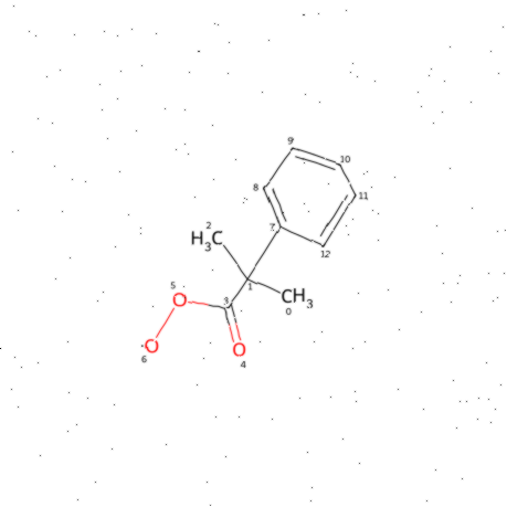 CC(C)(C(=O)O[O])c1ccccc1